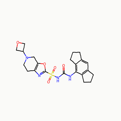 O=C(Nc1c2c(cc3c1CCC3)CCC2)NS(=O)(=O)c1nc2c(o1)CN(C1COC1)CC2